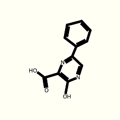 O=C(O)c1nc(-c2ccccc2)cnc1O